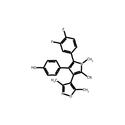 Cc1noc(C)c1-c1c(-c2ccc(O)cc2)c(-c2ccc(F)c(F)c2)n(C)c1C#N